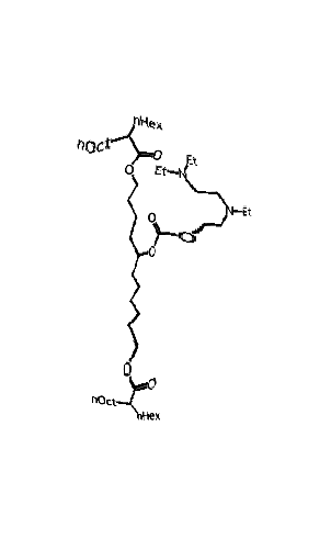 CCCCCCCCC(CCCCCC)C(=O)OCCCCCCC(CCCCOC(=O)C(CCCCCC)CCCCCCCC)OC(=O)OCCN(CC)CCN(CC)CC